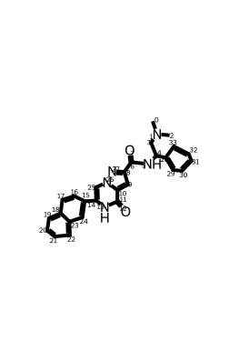 CN(C)CC(NC(=O)c1cc2c(=O)[nH]c(-c3ccc4ccccc4c3)cn2n1)c1ccccc1